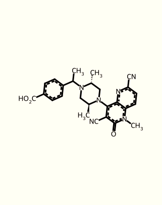 CC(c1ccc(C(=O)O)cc1)N1C[C@H](C)N(c2c(C#N)c(=O)n(C)c3ccc(C#N)nc23)C[C@H]1C